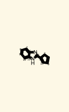 C1=CCC(c2nc3ccccc3[nH]2)=C1